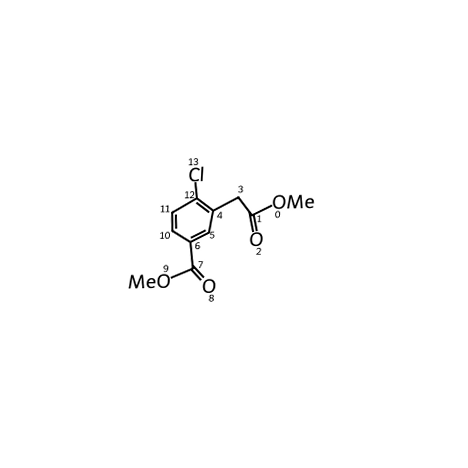 COC(=O)Cc1cc(C(=O)OC)ccc1Cl